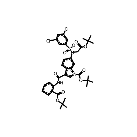 CC(C)(C)OC(=O)CN(c1ccc2c(C(=O)Nc3ccccc3C(=O)OC(C)(C)C)cn(C(=O)OC(C)(C)C)c2c1)S(=O)(=O)c1cc(Cl)cc(Cl)c1